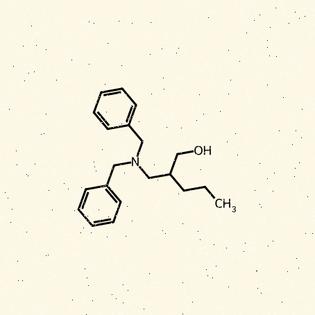 CCCC(CO)CN(Cc1ccccc1)Cc1ccccc1